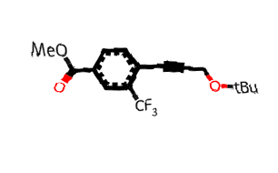 COC(=O)c1ccc(C#CCOC(C)(C)C)c(C(F)(F)F)c1